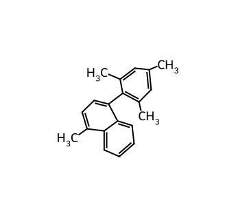 Cc1cc(C)c(-c2ccc(C)c3ccccc23)c(C)c1